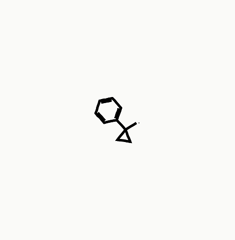 [CH2]C1(c2ccccc2)CC1